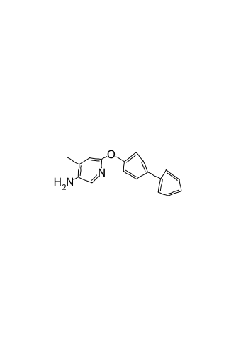 Cc1cc(Oc2ccc(-c3ccccc3)cc2)ncc1N